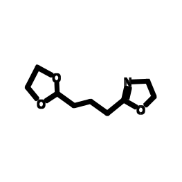 C(CC1=NCCO1)CC1OCCO1